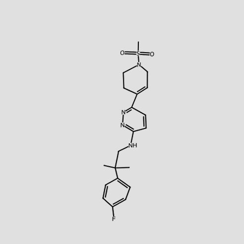 CC(C)(CNc1ccc(C2=CCN(S(C)(=O)=O)CC2)nn1)c1ccc(F)cc1